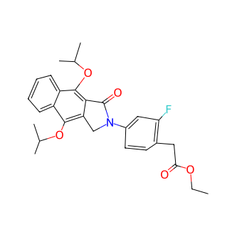 CCOC(=O)Cc1ccc(N2Cc3c(c(OC(C)C)c4ccccc4c3OC(C)C)C2=O)cc1F